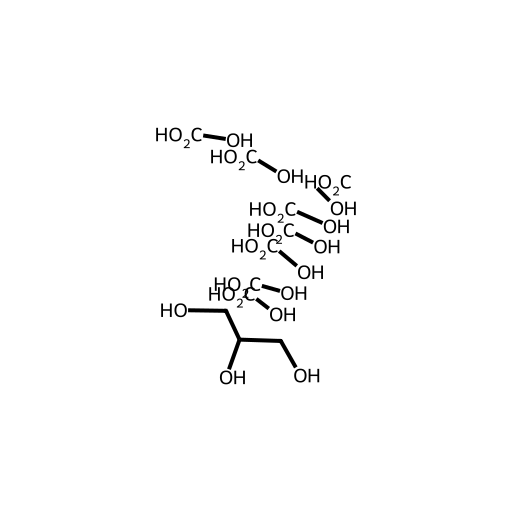 O=C(O)O.O=C(O)O.O=C(O)O.O=C(O)O.O=C(O)O.O=C(O)O.O=C(O)O.O=C(O)O.OCC(O)CO